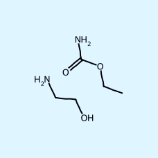 CCOC(N)=O.NCCO